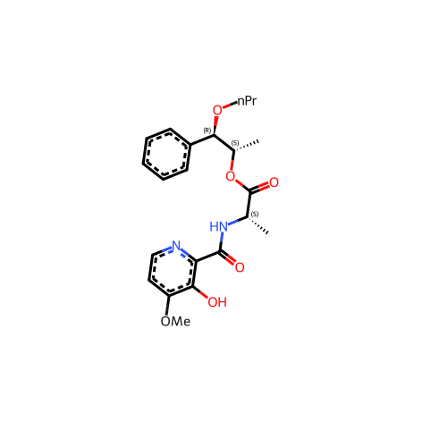 CCCO[C@H](c1ccccc1)[C@H](C)OC(=O)[C@H](C)NC(=O)c1nccc(OC)c1O